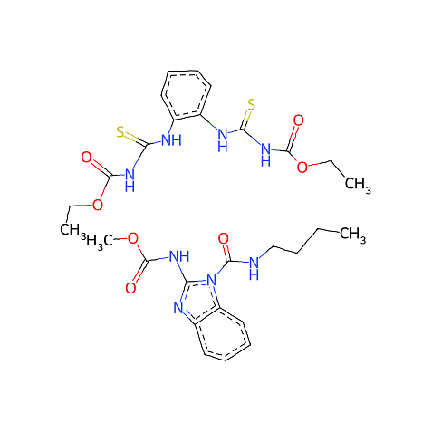 CCCCNC(=O)n1c(NC(=O)OC)nc2ccccc21.CCOC(=O)NC(=S)Nc1ccccc1NC(=S)NC(=O)OCC